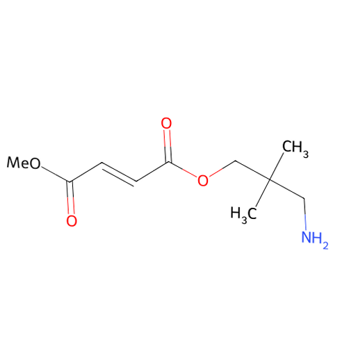 COC(=O)/C=C/C(=O)OCC(C)(C)CN